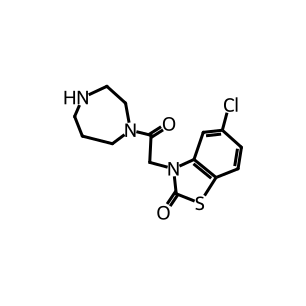 O=C(Cn1c(=O)sc2ccc(Cl)cc21)N1CCCNCC1